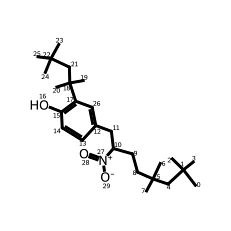 CC(C)(C)CC(C)(C)CCC(Cc1ccc(O)c(C(C)(C)CC(C)(C)C)c1)[N+](=O)[O-]